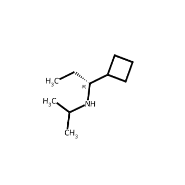 CC[C@@H](NC(C)C)C1CCC1